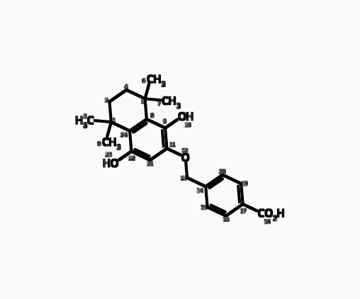 CC1(C)CCC(C)(C)c2c(O)c(OCc3ccc(C(=O)O)cc3)cc(O)c21